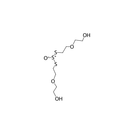 [O-][S+](SCCOCCO)SCCOCCO